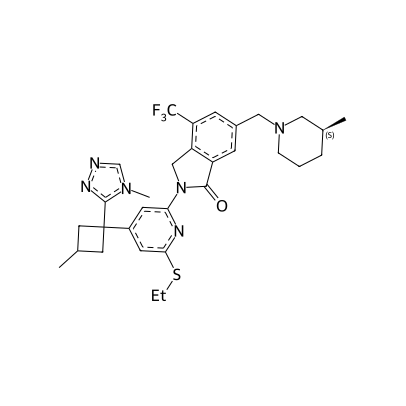 CCSc1cc(C2(c3nncn3C)CC(C)C2)cc(N2Cc3c(cc(CN4CCC[C@H](C)C4)cc3C(F)(F)F)C2=O)n1